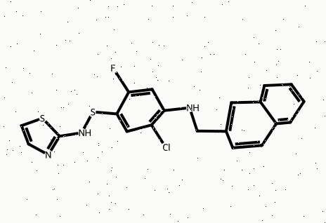 Fc1cc(NCc2ccc3ccccc3c2)c(Cl)cc1SNc1nccs1